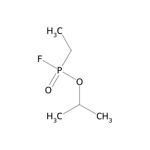 CCP(=O)(F)OC(C)C